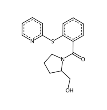 O=C(c1ccccc1Sc1ccccn1)N1CCCC1CO